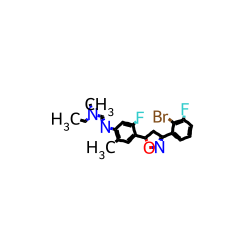 CCN(C)C=Nc1cc(F)c(C2CC(c3cccc(F)c3Br)=NO2)cc1C